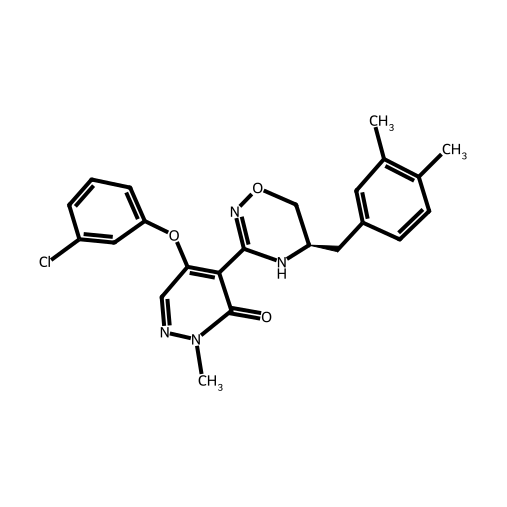 Cc1ccc(C[C@@H]2CON=C(c3c(Oc4cccc(Cl)c4)cnn(C)c3=O)N2)cc1C